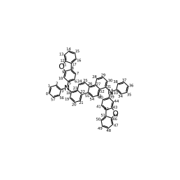 c1ccc(N(c2ccc3c(c2)oc2ccccc23)c2cccc3c2ccc2c4cccc(N(c5ccccc5)c5ccc6c(c5)oc5ccccc56)c4ccc32)cc1